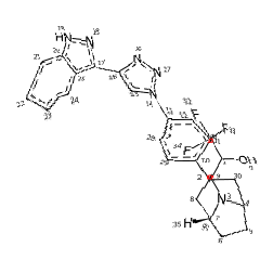 OC(CN1C2CC[C@@H]1CC(c1ccc(-n3cc(-c4n[nH]c5ccccc45)nn3)cc1)C2)C(F)(F)F